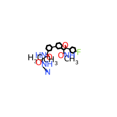 CNC(=O)c1c(-c2ccc(F)cc2)oc2ccc(-c3cccc(C(=O)NC(C)(C)C(=O)NCC#N)c3)cc12